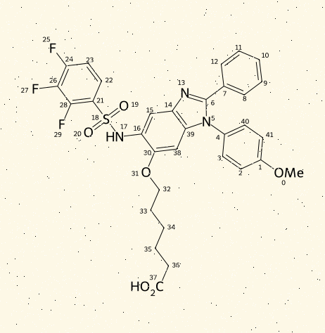 COc1ccc(-n2c(-c3ccccc3)nc3cc(NS(=O)(=O)c4ccc(F)c(F)c4F)c(OCCCCCC(=O)O)cc32)cc1